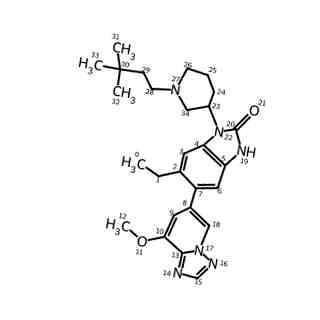 CCc1cc2c(cc1-c1cc(OC)c3ncnn3c1)[nH]c(=O)n2C1CCCN(CCC(C)(C)C)C1